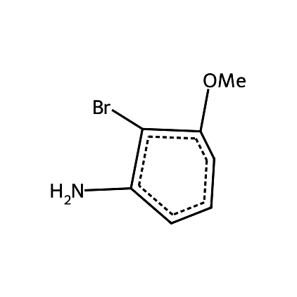 COc1cccc(N)c1Br